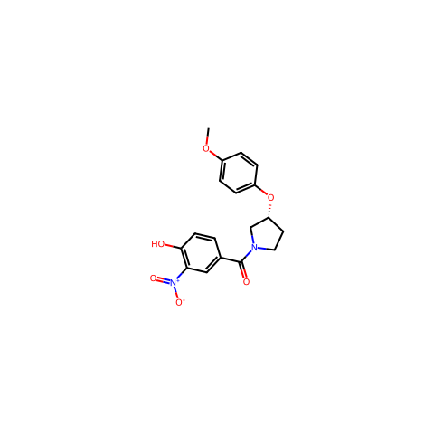 COc1ccc(O[C@@H]2CCN(C(=O)c3ccc(O)c([N+](=O)[O-])c3)C2)cc1